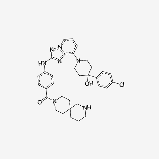 O=C(c1ccc(Nc2nc3c(N4CCC(O)(c5ccc(Cl)cc5)CC4)cccn3n2)cc1)N1CCC2(CCCNC2)CC1